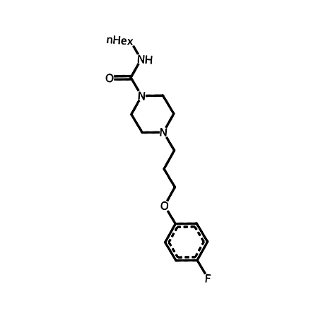 CCCCCCNC(=O)N1CCN(CCCOc2ccc(F)cc2)CC1